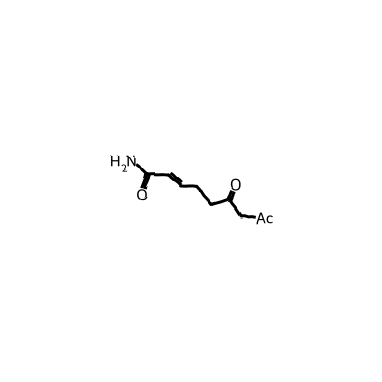 CC(=O)CC(=O)CCC=CC(N)=O